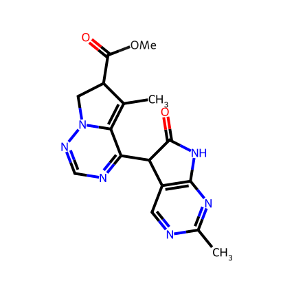 COC(=O)C1CN2N=CN=C(C3C(=O)Nc4nc(C)ncc43)C2=C1C